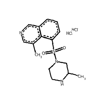 Cc1cncc2cccc(S(=O)(=O)N3CCNC(C)C3)c12.Cl.Cl